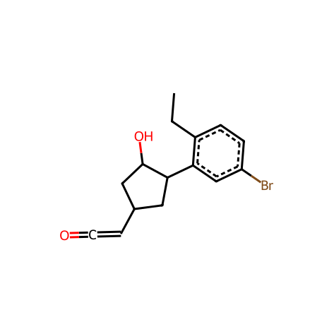 CCc1ccc(Br)cc1C1CC(C=C=O)CC1O